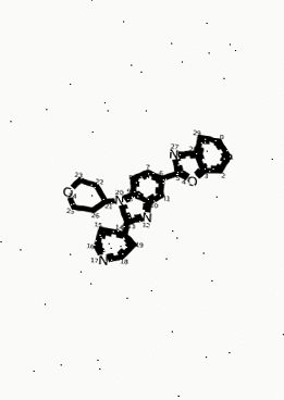 c1ccc2oc(-c3ccc4c(c3)nc(-c3ccncc3)n4C3CCOCC3)nc2c1